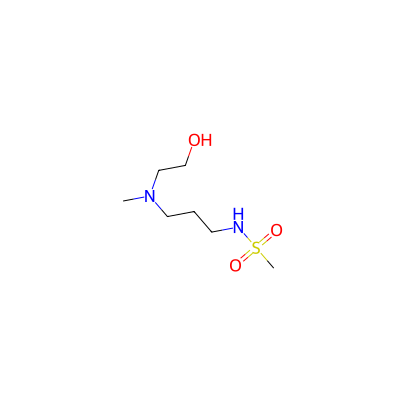 CN(CCO)CCCNS(C)(=O)=O